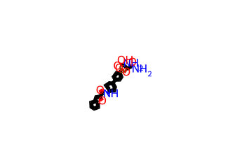 NC(=O)C[C@](N)(C(=O)O)S(=O)(=O)c1ccc(-c2ccc(NC(=O)c3cc4ccccc4o3)cc2)cc1